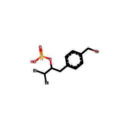 CCC(CC)C(Cc1ccc(CBr)cc1)O[PH](=O)O